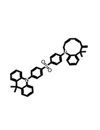 C=C1/C=C\C=C/CN(c2ccc(S(=O)(=O)c3ccc(N4c5ccccc5C(C)(C)c5ccccc54)cc3)cc2)c2ccccc2C1(C)C